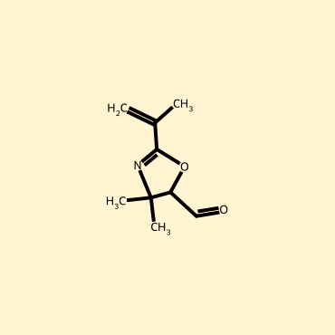 C=C(C)C1=NC(C)(C)C(C=O)O1